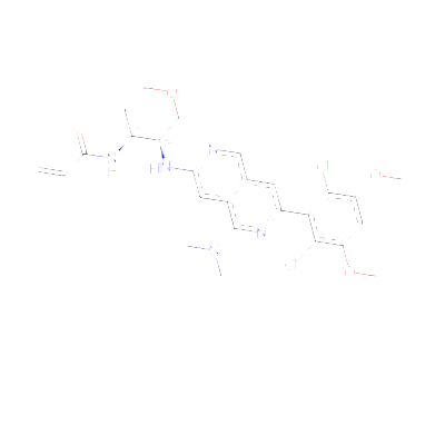 C=CC(=O)N[C@H]1CCOC[C@H]1Nc1cc2c(N(C)C)nc(-c3c(Cl)c(OC)cc(OC)c3Cl)cc2cn1